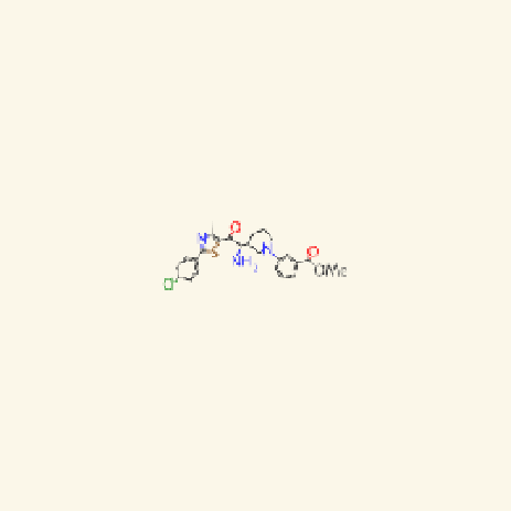 COC(=O)c1cccc(N2CCCC(C(N)C(=O)c3sc(-c4ccc(Cl)cc4)nc3C)C2)c1